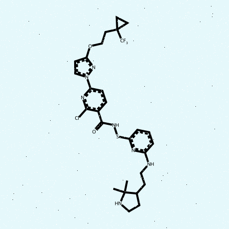 CC1(C)NCCC1CCNc1cccc(SNC(=O)c2ccc(-n3ccc(OCCC4(C(F)(F)F)CC4)n3)nc2Cl)n1